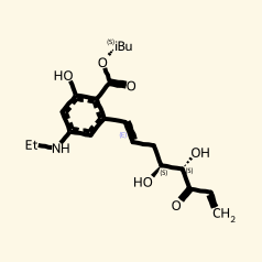 C=CC(=O)[C@@H](O)[C@@H](O)C/C=C/c1cc(NCC)cc(O)c1C(=O)O[C@@H](C)CC